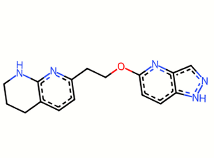 c1cc2c(nc1CCOc1ccc3[nH]ncc3n1)NCCC2